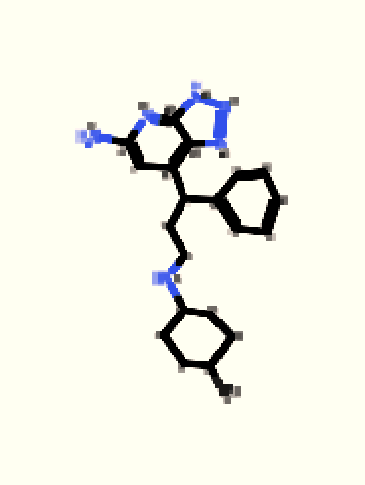 CC(C)(C)C1CCC(NCCC(c2ccccc2)c2cc(N)nc3[nH]nnc23)CC1